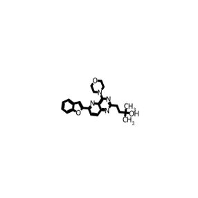 CC(C)(O)CCc1nc(N2CCOCC2)c2nc(-c3cc4ccccc4o3)ccc2n1